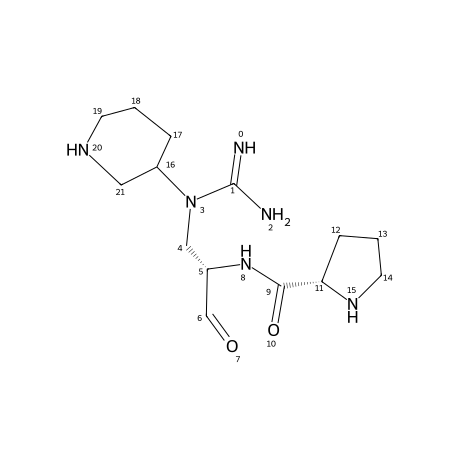 N=C(N)N(C[C@@H](C=O)NC(=O)[C@@H]1CCCN1)C1CCCNC1